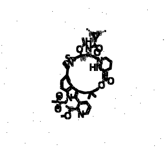 CCO[C@@H]1c2nc(cs2)-c2ccc3c(c2)c(c(-c2cccnc2[C@H](C)OC)n3CS(C)(=O)=O)CC(C)(C)COC(=O)[C@@H]2CCCN(N2)C(=O)[C@H]1NC(=O)[C@H]1[C@H](C)[C@@H]1C